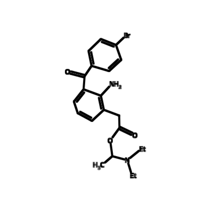 CCN(CC)C(C)OC(=O)Cc1cccc(C(=O)c2ccc(Br)cc2)c1N